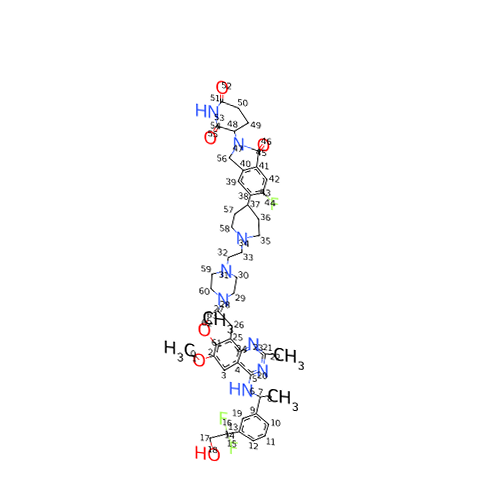 COc1cc2c(NC(C)c3cccc(C(F)(F)CO)c3)nc(C)nc2c(CCN2CCN(CCN3CCC(c4cc5c(cc4F)C(=O)N(C4CCC(=O)NC4=O)C5)CC3)CC2)c1OC